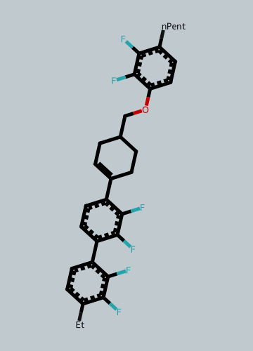 CCCCCc1ccc(OCC2CC=C(c3ccc(-c4ccc(CC)c(F)c4F)c(F)c3F)CC2)c(F)c1F